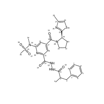 C[C](Cc1ccccc1)C(=O)NNC(=O)c1cc(C(=O)N2CCC[C@@H]2c2nc(C)cs2)cc(N(C)S(C)(=O)=O)n1